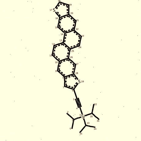 CC(C)[Si](C#Cc1cc2cc3ccc4c5cc6sccc6cc5ccc4c3cc2s1)(C(C)C)C(C)C